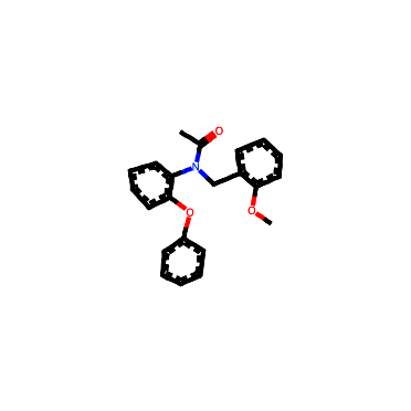 COc1ccccc1CN(C(C)=O)c1ccccc1Oc1ccccc1